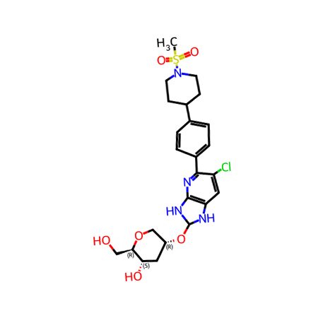 CS(=O)(=O)N1CCC(c2ccc(-c3nc4c(cc3Cl)NC(O[C@H]3CO[C@H](CO)[C@@H](O)C3)N4)cc2)CC1